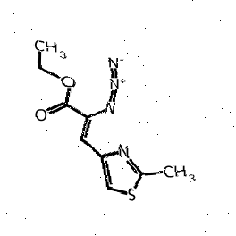 CCOC(=O)C(=Cc1csc(C)n1)N=[N+]=[N-]